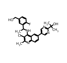 Cc1nc2ccc(-c3cnc(C(C)(C)O)nc3)cc2c(NC(C)c2cc(CO)ccc2F)c1Cl